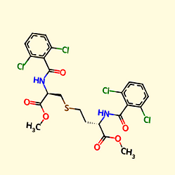 COC(=O)[C@H](CCSC[C@H](NC(=O)c1c(Cl)cccc1Cl)C(=O)OC)NC(=O)c1c(Cl)cccc1Cl